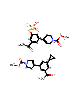 COC(=O)c1cc(C2=CCN(C(=O)OC(C)(C)C)CC2)cc(C2CC2)c1.COC(=O)c1cc(OS(=O)(=O)C(F)(F)F)cc(C2=CCN(C(=O)OC(C)(C)C)CC2)c1